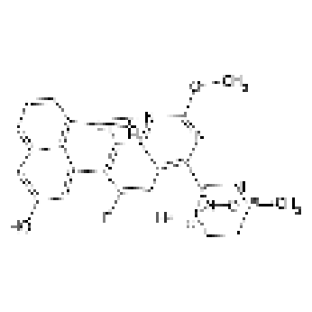 C#Cc1cccc2cc(O)cc(-c3c(F)cc4c(N5C[C@@]6(C)CC[C@H]5CN6)nc(OC)nc4c3F)c12